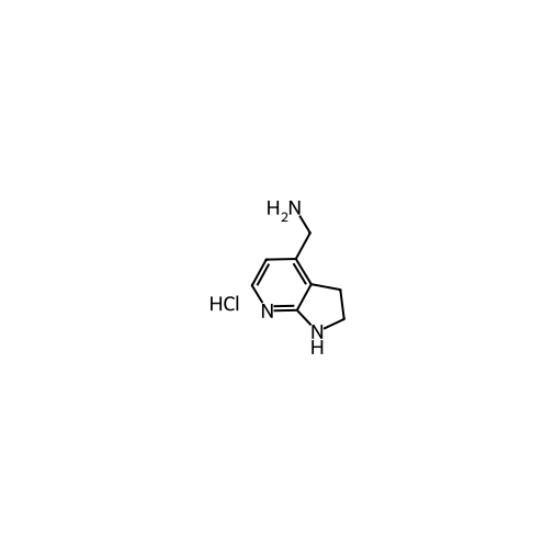 Cl.NCc1ccnc2c1CCN2